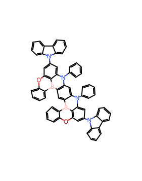 c1ccc(N2c3cc4c(cc3B3c5ccccc5Oc5cc(-n6c7ccccc7c7ccccc76)cc2c53)B2c3ccccc3Oc3cc(-n5c6ccccc6c6ccccc65)cc(c32)N4c2ccccc2)cc1